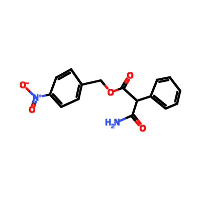 NC(=O)C(C(=O)OCc1ccc([N+](=O)[O-])cc1)c1ccccc1